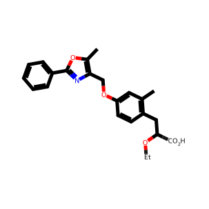 CCOC(Cc1ccc(OCc2nc(-c3ccccc3)oc2C)cc1C)C(=O)O